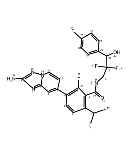 Nc1nc2cc(-c3ccc(C(F)F)c(C(=O)NCC(F)(F)C(O)c4ccc(F)cc4)c3F)ccn2n1